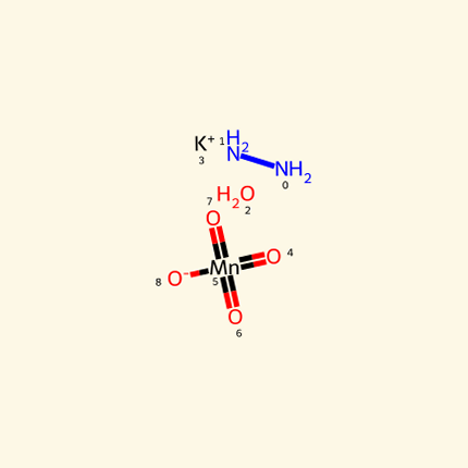 NN.O.[K+].[O]=[Mn](=[O])(=[O])[O-]